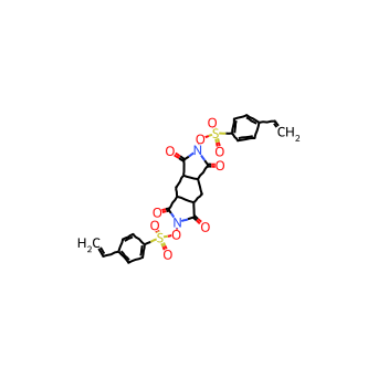 C=Cc1ccc(S(=O)(=O)ON2C(=O)C3CC4C(=O)N(OS(=O)(=O)c5ccc(C=C)cc5)C(=O)C4CC3C2=O)cc1